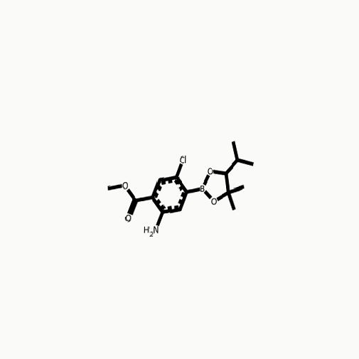 COC(=O)c1cc(Cl)c(B2OC(C(C)C)C(C)(C)O2)cc1N